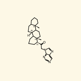 C[C@]12CCCCC1CC[C@@H]1C2CC[C@@]2(C)C1CCC[C@@H]2C(=O)Cn1cnc2cncnc21